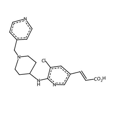 O=C(O)C=Cc1cnc(NC2CCN(Cc3ccncc3)CC2)c(Cl)c1